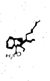 CC=CCCCC(CC)c1cc2ccccc2c(C(N)=O)c1CC